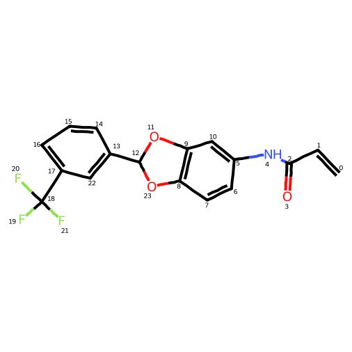 C=CC(=O)Nc1ccc2c(c1)OC(c1cccc(C(F)(F)F)c1)O2